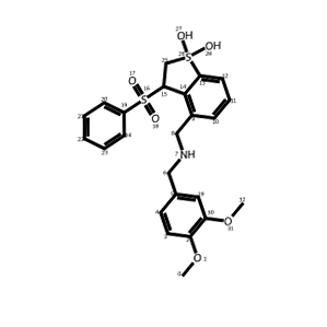 COc1ccc(CNCc2cccc3c2C(S(=O)(=O)c2ccccc2)CS3(O)O)cc1OC